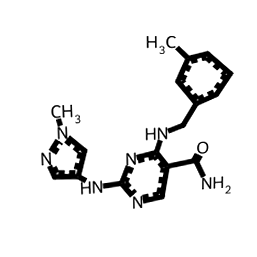 Cc1cccc(CNc2nc(Nc3cnn(C)c3)ncc2C(N)=O)c1